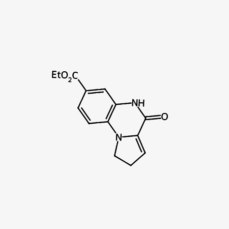 CCOC(=O)c1ccc2c(c1)NC(=O)C1=CCCN12